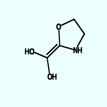 OC(O)=C1NCCO1